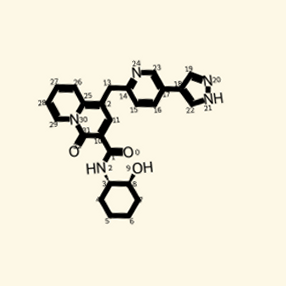 O=C(N[C@H]1CCCC[C@@H]1O)c1cc(Cc2ccc(-c3cn[nH]c3)cn2)c2ccccn2c1=O